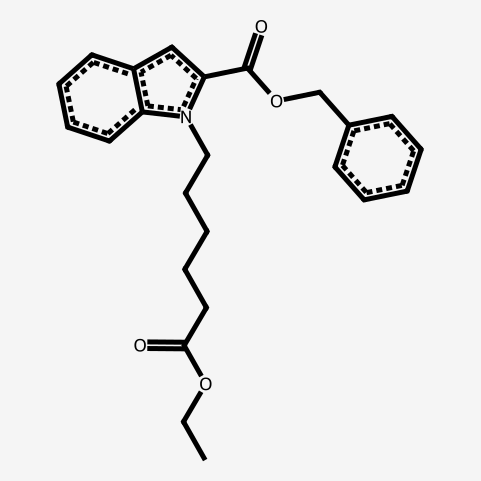 CCOC(=O)CCCCCn1c(C(=O)OCc2ccccc2)cc2ccccc21